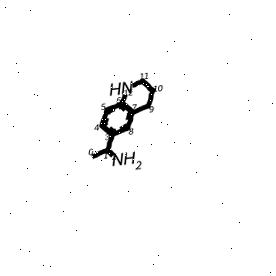 CC(N)c1ccc2c(c1)CCCN2